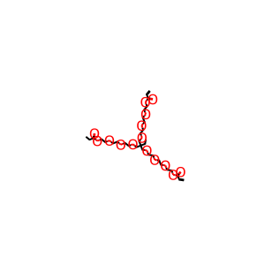 C=CC(=O)OCCOCCOCCOCC(CC)(COCCOCCOCCOC(=O)C=C)COCCOCCOCCOC(=O)CC